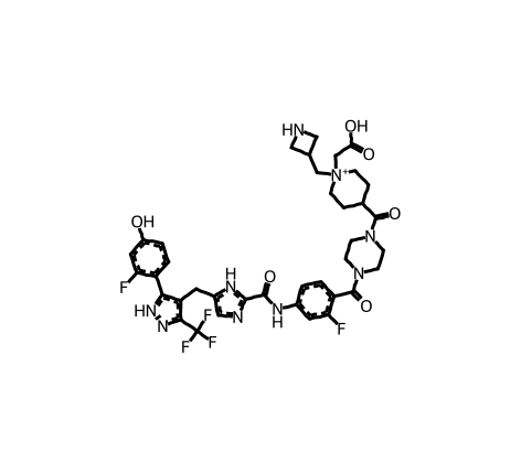 O=C(O)C[N+]1(CC2CNC2)CCC(C(=O)N2CCN(C(=O)c3ccc(NC(=O)c4ncc(Cc5c(C(F)(F)F)n[nH]c5-c5ccc(O)cc5F)[nH]4)cc3F)CC2)CC1